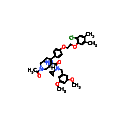 COc1cc(CN(C(=O)C2=C(c3ccc(OCCOc4cc(C)c(C)cc4Cl)cc3)CC3CN(C(C)=O)C[C@H]2N3)C2CC2)cc(OC)c1